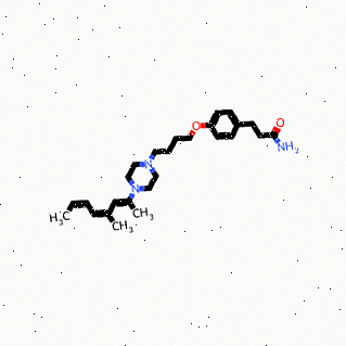 C\C=C/C=C(C)\C=C(/C)N1CCN(CCCCOc2ccc(CCC(N)=O)cc2)CC1